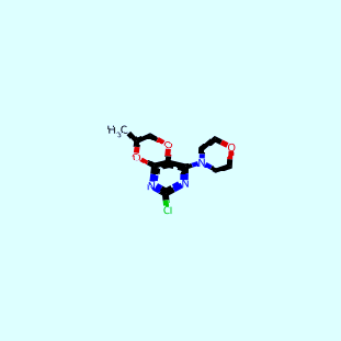 CC1COc2c(nc(Cl)nc2N2CCOCC2)O1